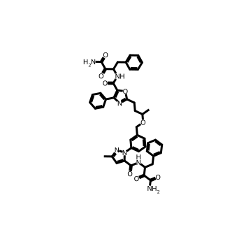 Cc1cc(C(=O)NC(Cc2ccccc2)C(=O)C(N)=O)n(-c2cccc(COC(C)CCc3nc(-c4ccccc4)c(C(=O)NC(Cc4ccccc4)C(=O)C(N)=O)o3)c2)n1